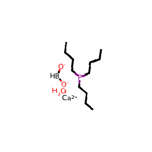 CCCCP(CCCC)CCCC.O.[Ca+2].[O-]B[O-]